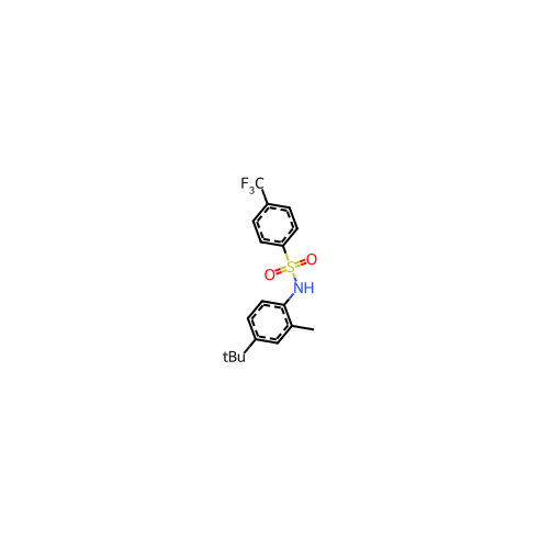 Cc1cc(C(C)(C)C)ccc1NS(=O)(=O)c1ccc(C(F)(F)F)cc1